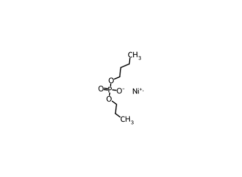 CCCCOP(=O)([O-])OCCC.[Ni+]